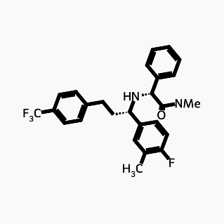 CNC(=O)[C@H](N[C@@H](CCc1ccc(C(F)(F)F)cc1)c1ccc(F)c(C)c1)c1ccccc1